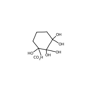 O=C(O)C1(O)CCCC(O)(O)C1(O)O